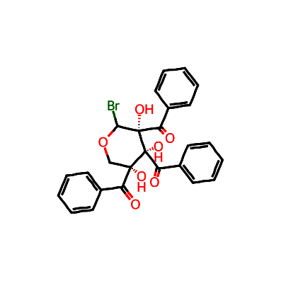 O=C(c1ccccc1)[C@@]1(O)[C@@](O)(C(=O)c2ccccc2)COC(Br)[C@@]1(O)C(=O)c1ccccc1